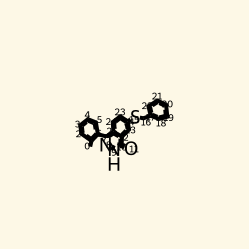 Cc1ccccc1-c1n[nH]c(=O)c2cc(SCc3ccccc3)ccc12